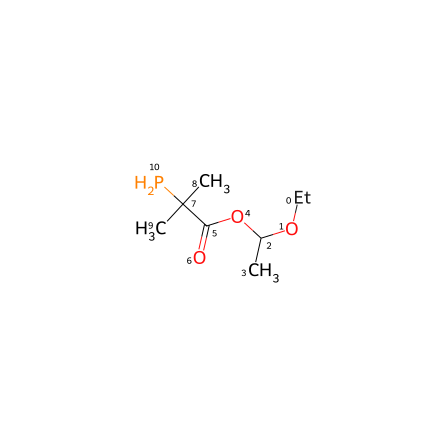 CCOC(C)OC(=O)C(C)(C)P